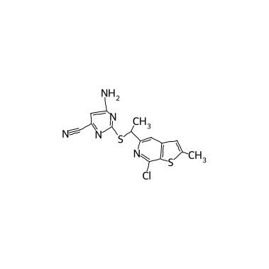 Cc1cc2cc(C(C)Sc3nc(N)cc(C#N)n3)nc(Cl)c2s1